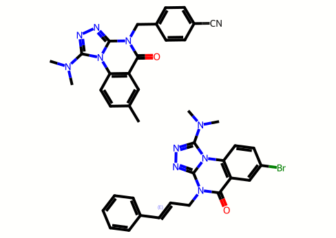 CN(C)c1nnc2n(C/C=C/c3ccccc3)c(=O)c3cc(Br)ccc3n12.Cc1ccc2c(c1)c(=O)n(Cc1ccc(C#N)cc1)c1nnc(N(C)C)n21